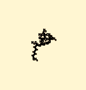 CC(C)(C)OC(=O)O.CC(C)(C)OO.CCCCCCC(C)ON=O